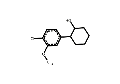 OC1CCCCC1c1ccc(Cl)c(OC(F)(F)F)c1